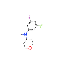 CN(c1cc(F)cc(I)c1)C1CCOCC1